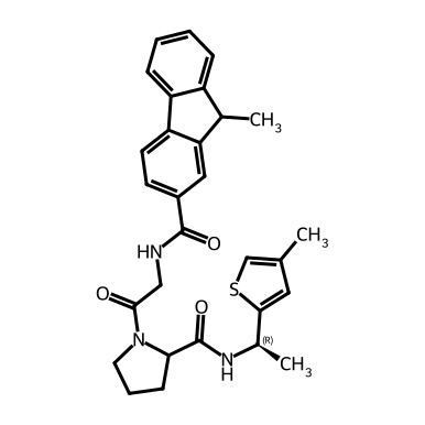 Cc1csc([C@@H](C)NC(=O)C2CCCN2C(=O)CNC(=O)c2ccc3c(c2)C(C)c2ccccc2-3)c1